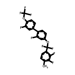 Cc1ccc(C(F)(F)Oc2ccc(-c3ccc(OC(F)(F)F)c(F)c3)c(F)c2)c(F)c1F